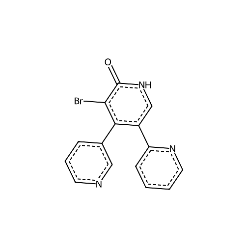 O=c1[nH]cc(-c2ccccn2)c(-c2cccnc2)c1Br